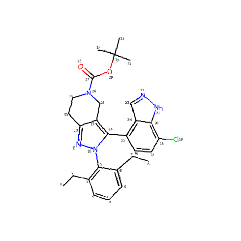 CCc1cccc(CC)c1-n1nc2c(c1-c1ccc(Cl)c3[nH]ncc13)CN(C(=O)OC(C)(C)C)CC2